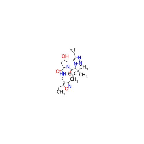 CCc1onc(C)c1CNC(=O)C1CC(O)CN1C(=O)C(n1cc(C2CC2)nn1)C(C)(C)C